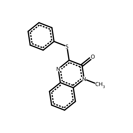 Cn1c(=O)c(Sc2ccccc2)nc2ccccc21